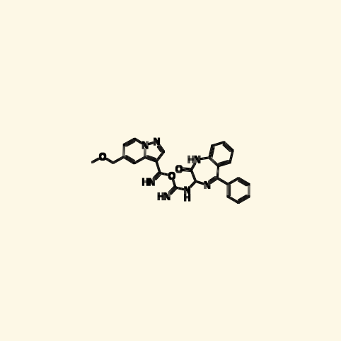 COCc1ccn2ncc(C(=N)OC(=N)NC3N=C(c4ccccc4)c4ccccc4NC3=O)c2c1